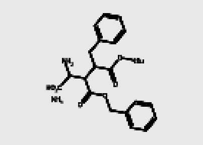 CC(C)(C)OC(=O)C(Cc1ccccc1)C(C(=O)OCc1ccccc1)C(N)C(=O)O.N